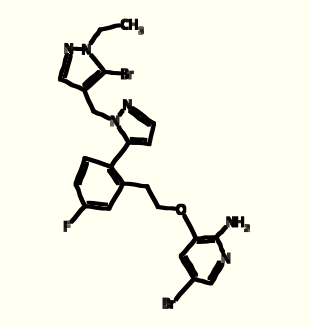 CCn1ncc(Cn2nccc2-c2ccc(F)cc2CCOc2cc(Br)cnc2N)c1Br